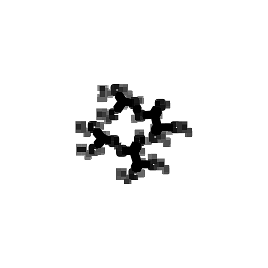 C=C(C)C(=O)OOC(C)C.C=C(C)C(=O)OOC(C)C.[Ti]